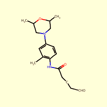 Cc1cc(N2CC(C)OC(C)C2)ccc1NC(=O)CCCC=O